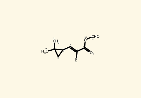 CC1(C)CC1C=C(F)C(=O)OC=O